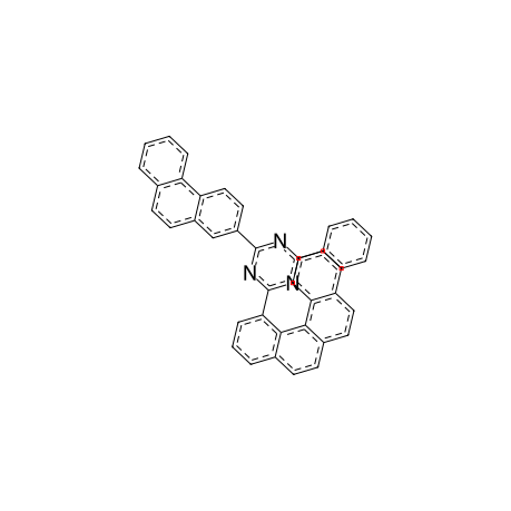 c1ccc(-c2nc(-c3ccc4c(ccc5ccccc54)c3)nc(-c3cccc4ccc5ccc6ccccc6c5c34)n2)cc1